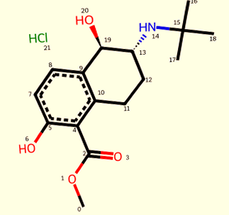 COC(=O)c1c(O)ccc2c1CC[C@@H](NC(C)(C)C)[C@@H]2O.Cl